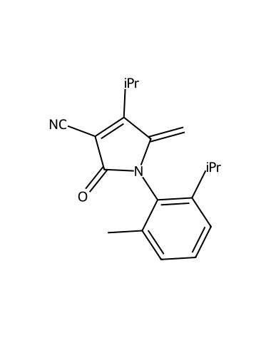 C=C1C(C(C)C)=C(C#N)C(=O)N1c1c(C)cccc1C(C)C